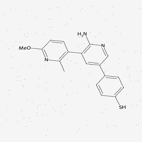 COc1ccc(-c2cc(-c3ccc(S)cc3)cnc2N)c(C)n1